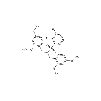 COc1ccc(CN(Cc2ccc(OC)cc2OC)S(=O)(=O)c2cccc(Br)c2F)c(OC)c1